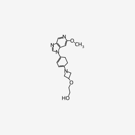 COc1cc2c(cn1)ncn2C1=CC=C(N2CC(OCCO)C2)CC1